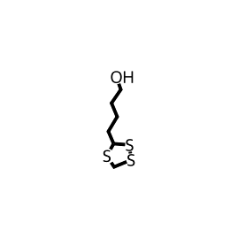 OCCCCC1SCSS1